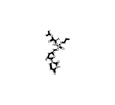 CCCSP(=O)(N[C@H](C)C(=O)OC(C)C)OC[C@@H]1C[C@H](C)[C@H](n2ccc(=O)[nH]c2=O)O1